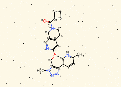 Cc1ccc(-c2nnn(C)c2COc2cc3c(cn2)CN(C(=O)C2CCC2)CC3)cn1